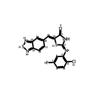 O=C1N/C(=N/c2cc(F)ccc2Cl)S/C1=C\c1ccc2nsnc2c1